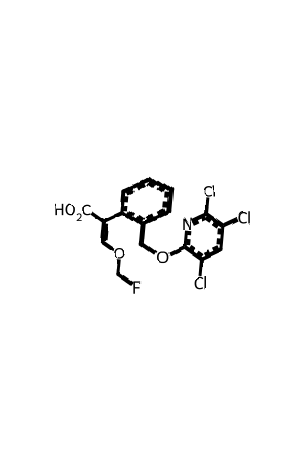 O=C(O)/C(=C/OCF)c1ccccc1COc1nc(Cl)c(Cl)cc1Cl